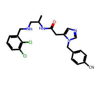 CC(CNCc1cccc(Cl)c1Cl)NC(=O)Cc1cncn1Cc1ccc(C#N)cc1